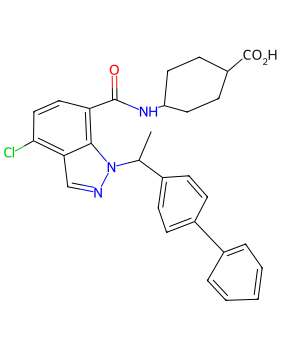 CC(c1ccc(-c2ccccc2)cc1)n1ncc2c(Cl)ccc(C(=O)NC3CCC(C(=O)O)CC3)c21